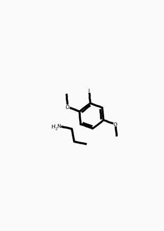 CCCN.COc1ccc(OC)c(I)c1